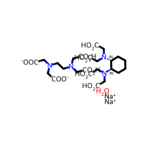 O.O=C(O)CN(CC(=O)O)[C@@H]1CCCC[C@H]1N(CC(=O)O)CC(=O)O.O=C([O-])CN(CCN(CC(=O)O)CC(=O)O)CC(=O)[O-].[Na+].[Na+]